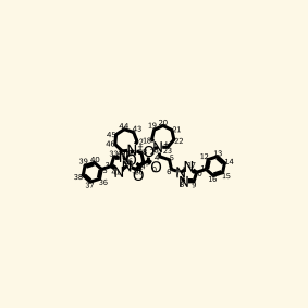 O=C(O[N+]1(CCCn2ncc(-c3ccccc3)n2)CCCCCC1)C(=O)O[N+]1(CCCn2ncc(-c3ccccc3)n2)CCCCCC1